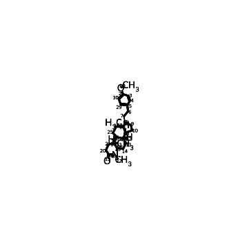 COc1ccc(CC[C@H]2CC[C@H]3[C@@H]4CCC5N(C)C(=O)CC[C@]5(C)[C@H]4CC[C@]23C)cc1